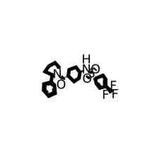 O=C([C@H]1CC[C@H](NS(=O)(=O)C2C=CC(C(F)(F)F)=CC2)CC1)N1CCCCC1c1ccccc1